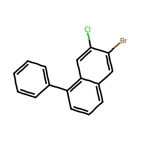 Clc1cc2c(-c3ccccc3)cccc2cc1Br